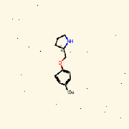 CC(C)(C)c1ccc(OC[C@H]2CCCN2)cc1